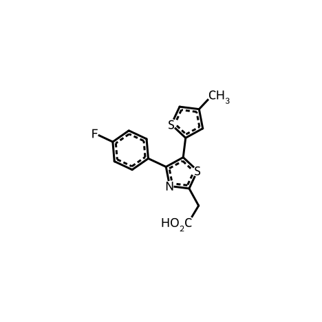 Cc1csc(-c2sc(CC(=O)O)nc2-c2ccc(F)cc2)c1